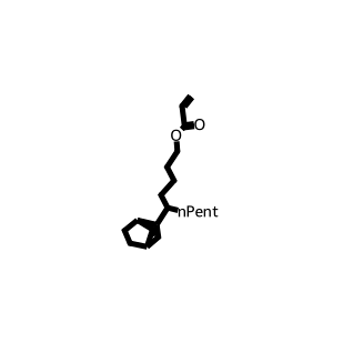 C=CC(=O)OCCCCC(CCCCC)C1=CC2CCC1C2